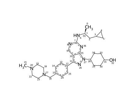 C[C@@H](CC1CC1)Nc1ncc2c(-c3ccc(CN4CCN(C)CC4)cc3)nn(C3CCC(O)CC3)c2n1